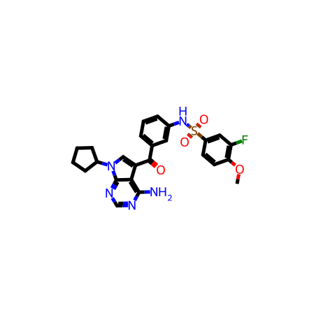 COc1ccc(S(=O)(=O)Nc2cccc(C(=O)c3cn(C4CCCC4)c4ncnc(N)c34)c2)cc1F